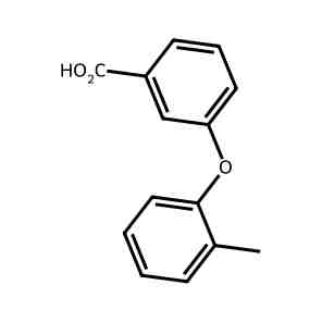 Cc1ccccc1Oc1cccc(C(=O)O)c1